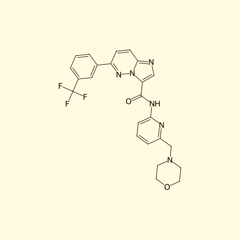 O=C(Nc1cccc(CN2CCOCC2)n1)c1cnc2ccc(-c3cccc(C(F)(F)F)c3)nn12